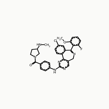 CNC1CCN(C(=O)c2ccc(Nc3ncc4c(n3)-c3ccc(Cl)cc3C(c3c(F)cccc3OC)=NC4)cc2)C1